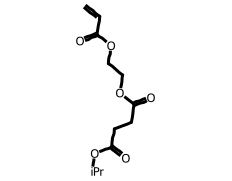 C=CC(=O)OCCOC(=O)CCC(=O)OC(C)C